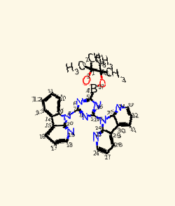 CC1(C)OB(c2nc(-n3c4ccccc4c4cccnc43)nc(-n3c4ncccc4c4cccnc43)n2)OC1(C)C